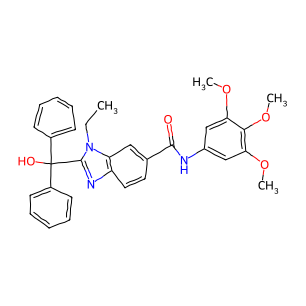 CCn1c(C(O)(c2ccccc2)c2ccccc2)nc2ccc(C(=O)Nc3cc(OC)c(OC)c(OC)c3)cc21